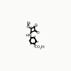 CCOC(=O)c1ccc(NC2C(=O)C(=O)C2OCC)cc1